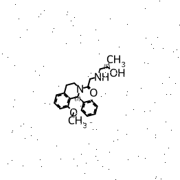 COc1cccc2c1[C@H](c1ccccc1)N(C(=O)CNC[C@H](C)O)CC2